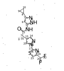 C[C@H](C(=O)Nc1cc(C2CC2)n[nH]1)c1cnn(-c2nc(C(F)F)cs2)c1